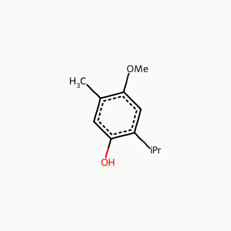 COc1cc(C(C)C)c(O)cc1C